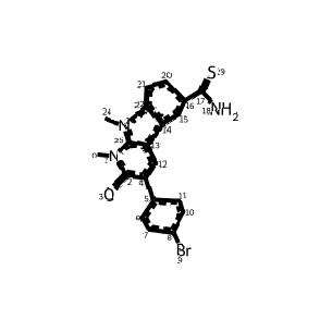 Cn1c(=O)c(-c2ccc(Br)cc2)cc2c3cc(C(N)=S)ccc3n(C)c21